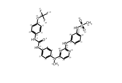 CN(c1ccc(NC(=O)Nc2ccc(OC(F)(F)F)cc2)cc1)c1ccnc(Nc2cccc(NS(C)(=O)=O)c2)n1